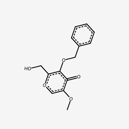 COc1coc(CO)c(OCc2ccccc2)c1=O